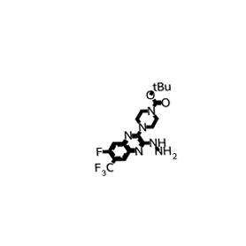 CC(C)(C)OC(=O)N1CCN(c2nc3cc(F)c(C(F)(F)F)cc3nc2NN)CC1